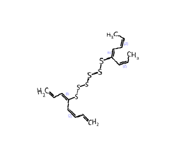 C=C/C=C\C(=C/C=C)SSSSSSC(/C=C\C)=C/C=C\C